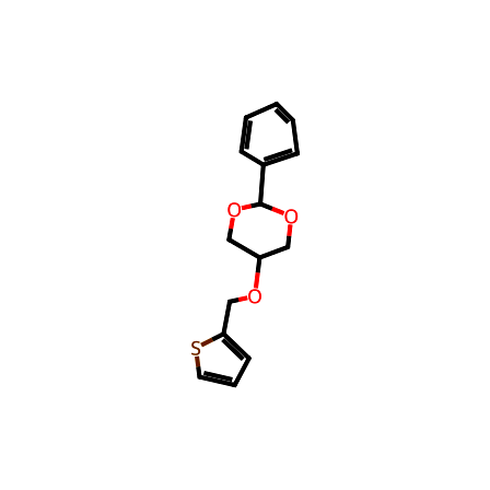 c1ccc(C2OCC(OCc3cccs3)CO2)cc1